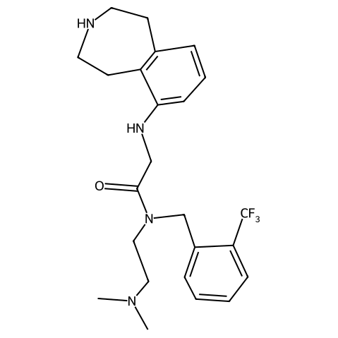 CN(C)CCN(Cc1ccccc1C(F)(F)F)C(=O)CNc1cccc2c1CCNCC2